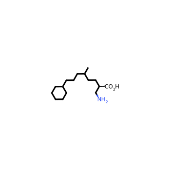 CC(CCCC1CCCCC1)CC[C@H](CN)C(=O)O